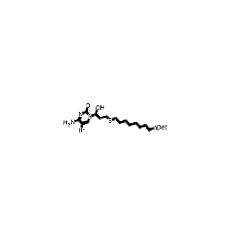 CCCCCCCCCCCCCCCCCCSCCC(O)n1cc(Br)c(N)nc1=O